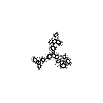 c1ccc(-c2c3ccccc3c(-c3ccc(-n4c5ccc(-c6ccc(-n7c8ccccc8c8ccccc87)cc6)cc5c5cc(-c6ccc7c(c6)C(c6ccccc6)(c6ccccc6)c6ccccc6-7)ccc54)cc3)c3ccccc23)cc1